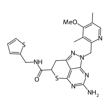 COc1c(C)cnc(Cn2nc3c4c(nc(N)nc42)SC(C(=O)NCc2cccs2)C3)c1C